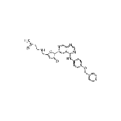 C[S+]([O-])CCNCC1=CC(=O)C(c2cc3c(Nc4ccc(OCc5ccccc5)cc4)ncnc3cn2)O1